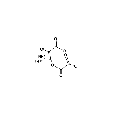 O=C([O-])C(=O)[O-].O=C([O-])C(=O)[O-].[Fe+3].[NH4+]